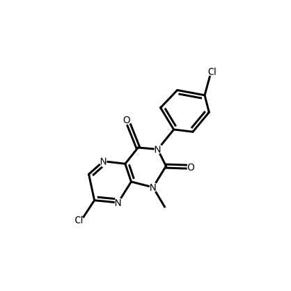 Cn1c(=O)n(-c2ccc(Cl)cc2)c(=O)c2ncc(Cl)nc21